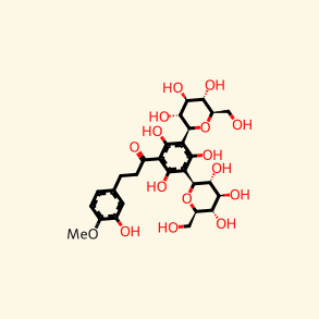 COc1ccc(CCC(=O)c2c(O)c([C@@H]3O[C@H](CO)[C@@H](O)[C@H](O)[C@H]3O)c(O)c([C@@H]3O[C@H](CO)[C@@H](O)[C@H](O)[C@H]3O)c2O)cc1O